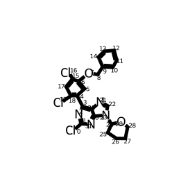 Clc1nc(-c2cc(OCc3ccccc3)c(Cl)cc2Cl)c2ncn(C3CCCCO3)c2n1